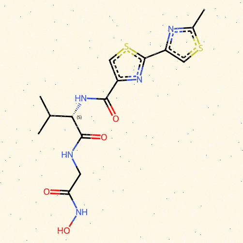 Cc1nc(-c2nc(C(=O)N[C@H](C(=O)NCC(=O)NO)C(C)C)cs2)cs1